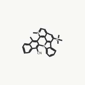 Cc1c2ccccc2c(C#N)c2c1c1c3c(cc[n+]1C)cc([Si](C)(C)C)c1c4ccccc4n2c13